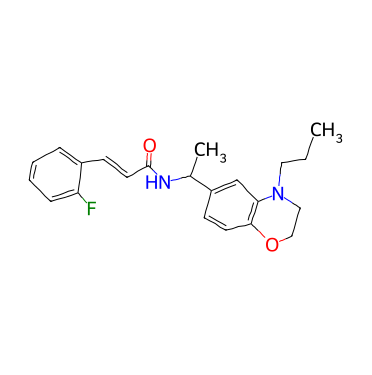 CCCN1CCOc2ccc(C(C)NC(=O)C=Cc3ccccc3F)cc21